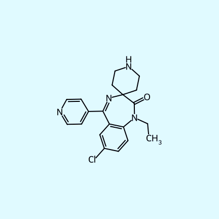 CCN1C(=O)C2(CCNCC2)N=C(c2ccncc2)c2cc(Cl)ccc21